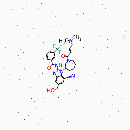 CN(C)C/C=C/C(=O)N1CCCCC(n2c(NC(=O)c3cccc(C(F)(F)F)c3)nc3cc(CO)cc(C#N)c32)C1